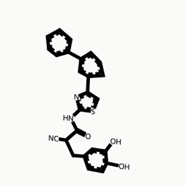 N#CC(Cc1ccc(O)c(O)c1)C(=O)Nc1nc(-c2cccc(-c3ccccc3)c2)cs1